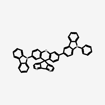 c1ccc(-n2c3ccccc3c3cc(-c4ccc5c(c4)Oc4ccc(-n6c7ccccc7c7ccccc76)cc4C54c5cccnc5-c5ncccc54)ccc32)cc1